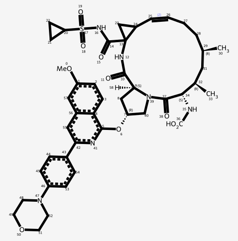 COc1ccc2c(O[C@@H]3C[C@H]4C(=O)NC5(C(=O)NS(=O)(=O)C6CC6)CC5/C=C\CC[C@@H](C)C[C@@H](C)[C@H](NC(=O)O)C(=O)N4C3)nc(-c3ccc(N4CCOCC4)cc3)cc2c1